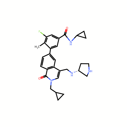 Cc1c(F)cc(C(=O)NC2CC2)cc1-c1ccc2c(=O)n(CC3CC3)cc(CN[C@@H]3CCNC3)c2c1